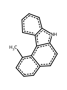 Cc1cccc2ccc3[nH]c4ccccc4c3c12